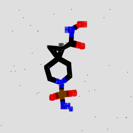 NS(=O)(=O)N1CCC2(CC1)C[C@H]2C(=O)NO